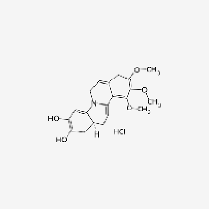 COC1=C(OC)C(OC)=C2C(=CCN3C2=CC[C@H]2CC(O)=C(O)C=C23)C1.Cl